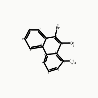 Cc1cccc2c1c(Br)c(Br)c1ccccc12